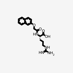 N=C(N)NCCC[C@H](NC(=O)COc1ccc2ccccc2c1)C(=O)O